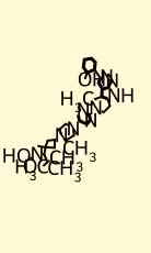 C[C@@H]1c2c([nH]c3nnc(-c4ccccc4O)cc23)CCN1c1ncc(N2CCN(C3CC4(C3)CN(C(=O)O)C4C(C)(C)C)[C@H](C)C2)cn1